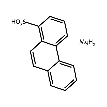 O=S(=O)(O)c1cccc2c1ccc1ccccc12.[MgH2]